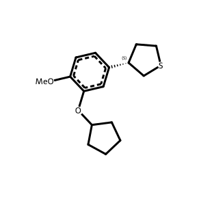 COc1ccc([C@@H]2CCSC2)cc1OC1CCCC1